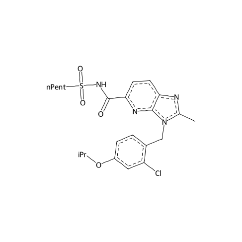 CCCCCS(=O)(=O)NC(=O)c1ccc2nc(C)n(Cc3ccc(OC(C)C)cc3Cl)c2n1